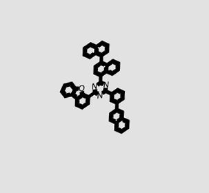 c1cc(-c2ccc3ccccc3c2)cc(-c2nc(-c3ccc(-c4cccc5ccccc45)c4ccccc34)nc(-c3cccc4c3oc3ccccc34)n2)c1